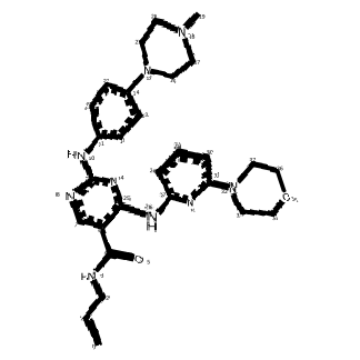 C=CCNC(=O)c1cnc(Nc2ccc(N3CCN(C)CC3)cc2)nc1Nc1cccc(N2CCOCC2)n1